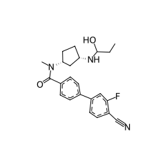 CCC(O)N[C@H]1CC[C@@H](N(C)C(=O)c2ccc(-c3ccc(C#N)c(F)c3)cc2)C1